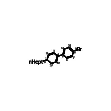 CCCCCCCC1C=CC(c2ccc(Br)cc2)=CC1